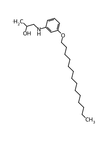 [CH2]C(O)CNc1cccc(OCCCCCCCCCCCCCC)c1